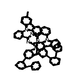 Cc1ccc2c(c1)c1ccccc1n2-c1ccccc1-c1nc(-c2ccccc2-n2c3ccccc3c3cc(C)ccc32)nc(-n2c3ccc(-c4ccccc4-c4ccccc4)cc3c3cc(-c4ccccc4-c4ccccc4)ccc32)n1